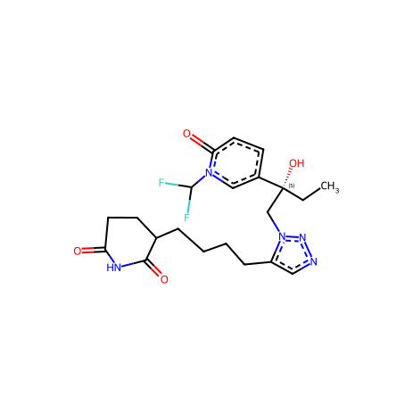 CC[C@@](O)(Cn1nncc1CCCCC1CCC(=O)NC1=O)c1ccc(=O)n(C(F)F)c1